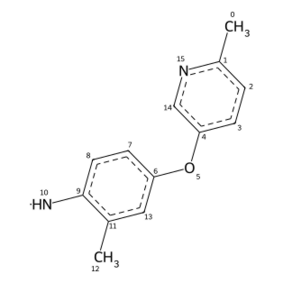 Cc1ccc(Oc2ccc([NH])c(C)c2)cn1